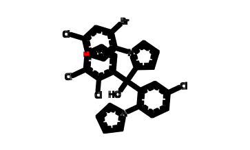 OC(c1cc(Cl)ccc1-n1cccc1)(c1cccc(Cl)c1Cl)c1cccn1-c1ccc(Cl)cc1Br